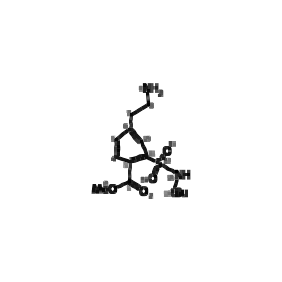 COC(=O)c1ccc(CCN)cc1S(=O)(=O)NC(C)(C)C